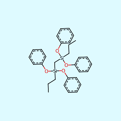 CCC[Si](C[Si](CCC)(Oc1ccccc1)Oc1ccccc1)(Oc1ccccc1)Oc1ccccc1